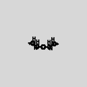 C[C@@H]1CN[C@H](c2ncc(-c3ccc(-c4cnc([C@@H]5C[C@@H](C)CN5)[nH]4)cc3)[nH]2)C1